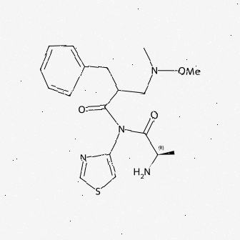 CON(C)CC(Cc1ccccc1)C(=O)N(C(=O)[C@@H](C)N)c1cscn1